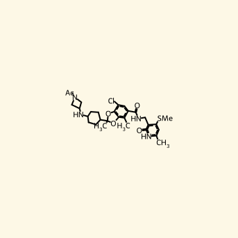 CSc1cc(C)[nH]c(=O)c1CNC(=O)c1cc(Cl)c2c(c1C)OC(C)(C1CCC(NC3CN(C(C)=O)C3)CC1)O2